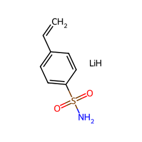 C=Cc1ccc(S(N)(=O)=O)cc1.[LiH]